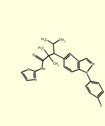 CC(C)C(c1ccc2c(cnn2-c2ccc(F)cc2)c1)C(C)(C)C(=O)Nc1nccs1